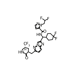 O=C(NC(c1cn2nc(CC3C[C@@H](C(F)(F)F)CNC3=O)ccc2n1)C1CCC(F)(F)CC1)c1ccnn1CC(F)F